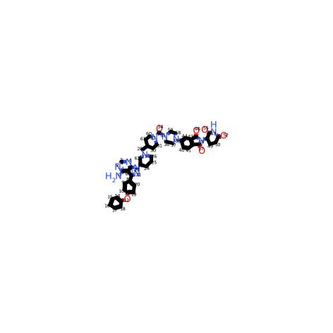 Nc1ncnc2c1c(-c1ccc(Oc3ccccc3)cc1)nn2[C@@H]1CCCN(CC2CCN(C(=O)N3CCN(c4ccc5c(c4)C(=O)N(C4CCC(=O)NC4=O)C5=O)CC3)CC2)C1